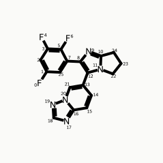 Fc1cc(F)c(F)c(-c2nc3n(c2-c2ccc4ncnn4c2)CCC3)c1